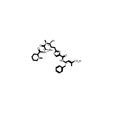 CC[C@H](C)[C@H](NC(=O)C1CCCCN1C)C(=O)N(C)[C@H](CCc1nc(C(=O)N[C@H](/C=C(\C)C(=O)O)Cc2ccccc2)cs1)C(C)C